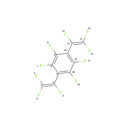 FC(F)=C(F)c1c(F)c(F)c(C(F)=C(F)F)c(F)c1F